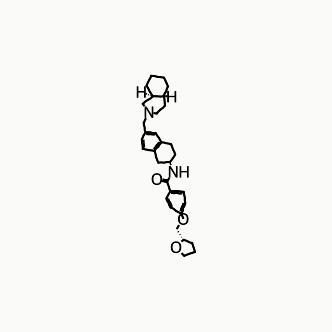 O=C(N[C@H]1CCc2cc(CN3CC[C@H]4CCCC[C@@H]4C3)ccc2C1)c1ccc(OC[C@@H]2CCCO2)cc1